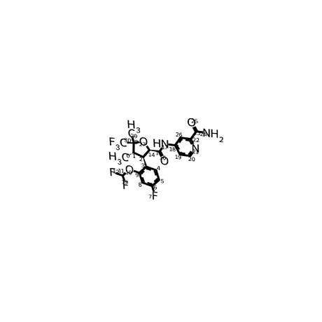 C[C@H]1[C@H](c2ccc(F)cc2OC(F)F)[C@H](C(=O)Nc2ccnc(C(N)=O)c2)O[C@]1(C)C(F)(F)F